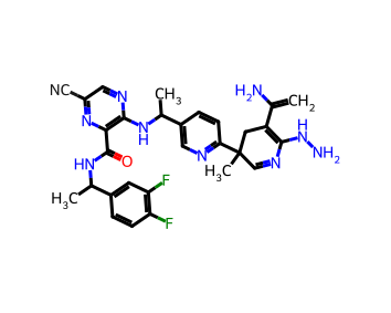 C=C(N)C1=C(NN)N=CC(C)(c2ccc(C(C)Nc3ncc(C#N)nc3C(=O)NC(C)c3ccc(F)c(F)c3)cn2)C1